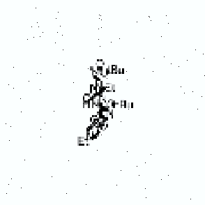 CCCCOc1ncc(S(=O)(=O)N2CCN(CC)CC2)cc1-c1nc2c(CC)n(CCN(C)C(=O)OC(C)(C)C)nc2c(=O)[nH]1